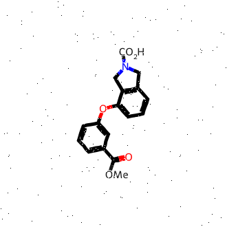 COC(=O)c1cccc(Oc2cccc3c2CN(C(=O)O)C3)c1